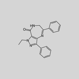 CCn1nc(-c2ccccc2)c2c1C(=O)NCC(c1ccccc1)=N2